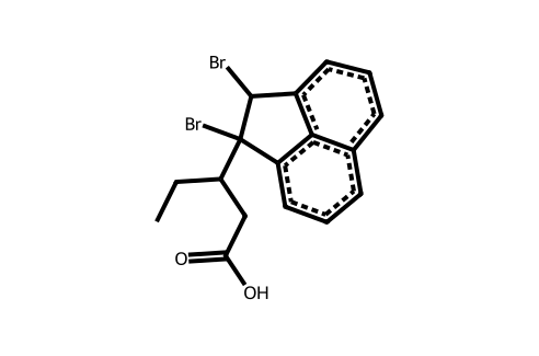 CCC(CC(=O)O)C1(Br)c2cccc3cccc(c23)C1Br